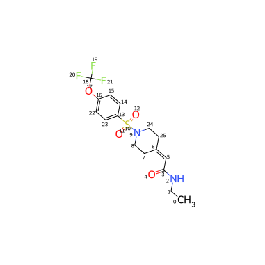 CCNC(=O)C=C1CCN(S(=O)(=O)c2ccc(OC(F)(F)F)cc2)CC1